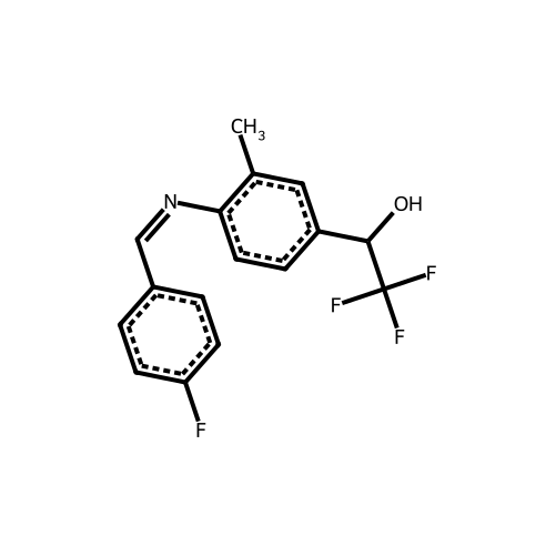 Cc1cc(C(O)C(F)(F)F)ccc1/N=C\c1ccc(F)cc1